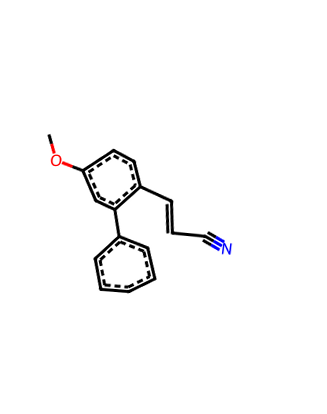 COc1ccc(C=CC#N)c(-c2ccccc2)c1